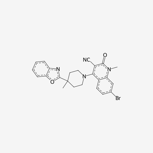 Cn1c(=O)c(C#N)c(N2CCC(C)(c3nc4ccccc4o3)CC2)c2ccc(Br)cc21